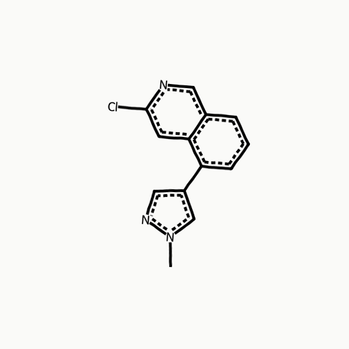 Cn1cc(-c2cccc3cnc(Cl)cc23)cn1